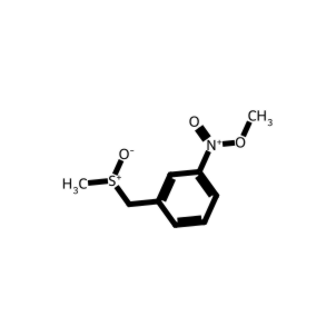 CO[N+](=O)c1cccc(C[S+](C)[O-])c1